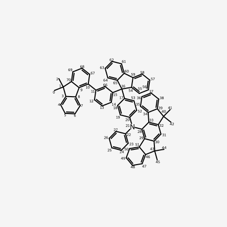 CC1(C)c2ccccc2-c2c(-c3cccc(C4(c5ccc(N(c6ccccc6)c6c7c(cc8c6-c6ccccc6C8(C)C)C(C)(C)c6ccccc6-7)cc5)c5ccccc5-c5ccccc54)c3)cccc21